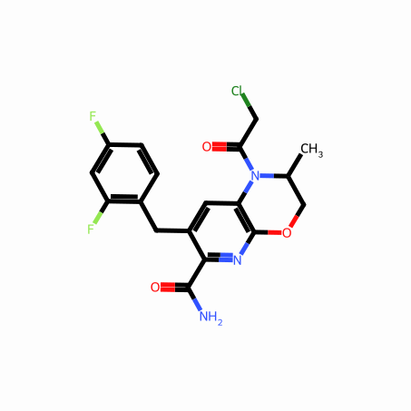 CC1COc2nc(C(N)=O)c(Cc3ccc(F)cc3F)cc2N1C(=O)CCl